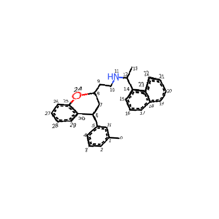 Cc1cccc(C2CC(CCNC(C)c3cccc4ccccc34)Oc3ccccc32)c1